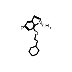 Cn1ccc2cc(F)cc(OCCC3CCCCC3)c21